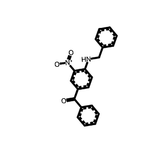 O=C(c1ccccc1)c1ccc(NCc2ccccc2)c([N+](=O)[O-])c1